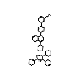 N#CC1=CC(c2ccc(C3CC=C(C4=CCC(c5nc(C6=CC=CCC6)nc(C6CC=CCC6)c5C5=CC=CCC5)CC4)C4=C3C=CCC4)cc2)CC=C1